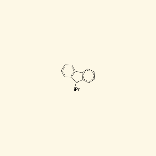 CC(C)[C]1c2ccccc2-c2ccccc21